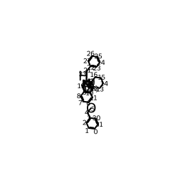 c1ccc(COc2ccc3c(c2)[C@@]24CCCC[C@H]2[C@@H](C3)N(Cc2ccccc2)CC4)cc1